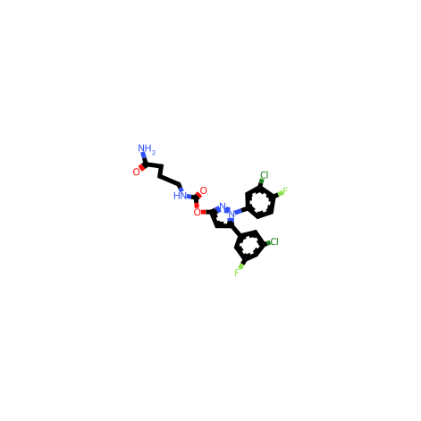 NC(=O)CCCNC(=O)Oc1cc(-c2cc(F)cc(Cl)c2)n(-c2ccc(F)c(Cl)c2)n1